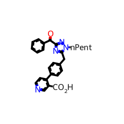 CCCCCn1nc(C(=O)c2ccccc2)nc1Cc1ccc(-c2ccncc2C(=O)O)cc1